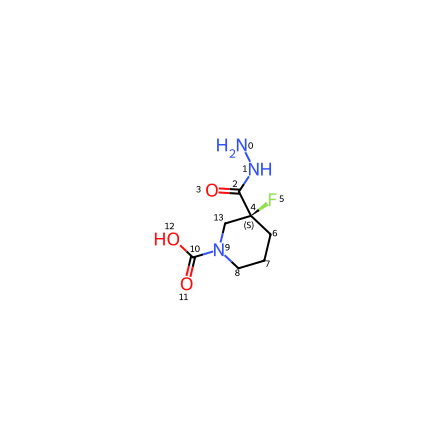 NNC(=O)[C@]1(F)CCCN(C(=O)O)C1